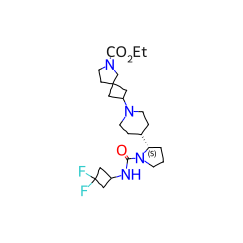 CCOC(=O)N1CCC2(CC(N3CCC([C@@H]4CCCN4C(=O)NC4CC(F)(F)C4)CC3)C2)C1